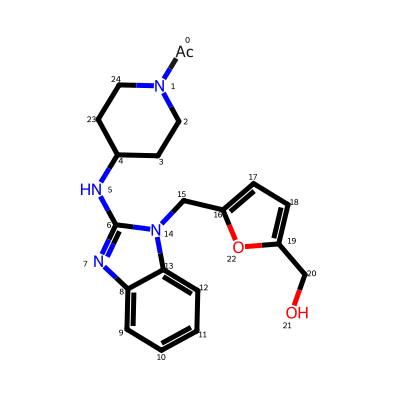 CC(=O)N1CCC(Nc2nc3ccccc3n2Cc2ccc(CO)o2)CC1